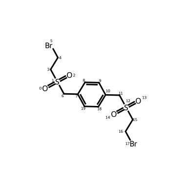 O=S(=O)(CCBr)Cc1ccc(CS(=O)(=O)CCBr)cc1